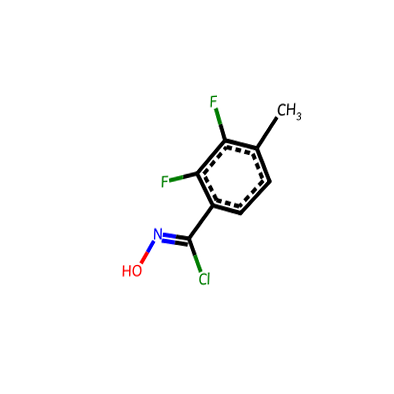 Cc1ccc(C(Cl)=NO)c(F)c1F